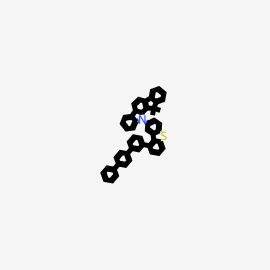 CC1(C)C2=C(C=CC3c4ccccc4N(c4ccc5sc6cccc(-c7cccc(-c8ccc(-c9ccccc9)cc8)c7)c6c5c4)C23)c2ccccc21